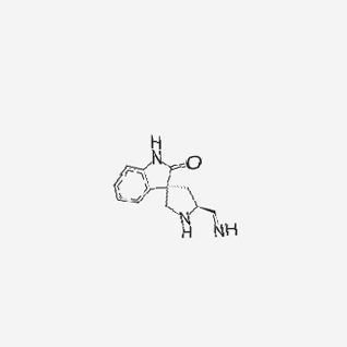 N=C[C@@H]1C[C@@]2(CN1)C(=O)Nc1ccccc12